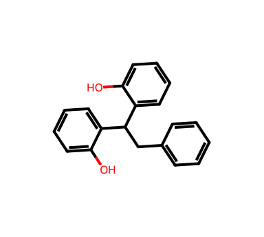 Oc1ccccc1C(Cc1ccccc1)c1ccccc1O